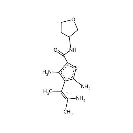 C/C(N)=C(\C)c1c(N)sc(C(=O)NC2CCOC2)c1N